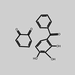 O=C(c1ccccc1)c1ccc(O)c(O)c1O.O=C1C=CC=CC1=O